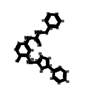 Cc1ccc(NC(=S)NCc2ccccc2)cc1Nc1ncc(-c2ccncc2)o1